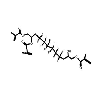 C=C(C)C(=O)OCC(O)CC(F)(F)C(F)(F)C(F)(F)C(F)(F)C(F)(F)C(F)(F)CC(COC(=O)C(=C)C)OC(=O)C(=C)C